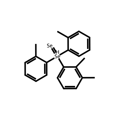 Cc1ccccc1[SeH](=[Se])(c1ccccc1C)c1cccc(C)c1C